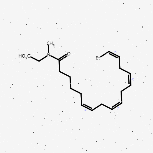 CC/C=C\C/C=C\C/C=C\C/C=C\CCCCC(=O)N(C)CC(=O)O